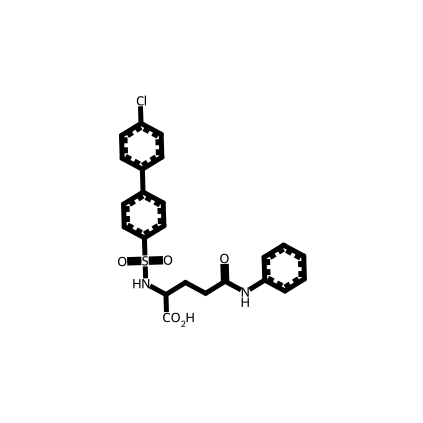 O=C(CCC(NS(=O)(=O)c1ccc(-c2ccc(Cl)cc2)cc1)C(=O)O)Nc1ccccc1